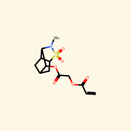 C=CC(=O)OCC(=O)OC1C2CC3C1N(C(C)(C)C)S(=O)(=O)C3C2